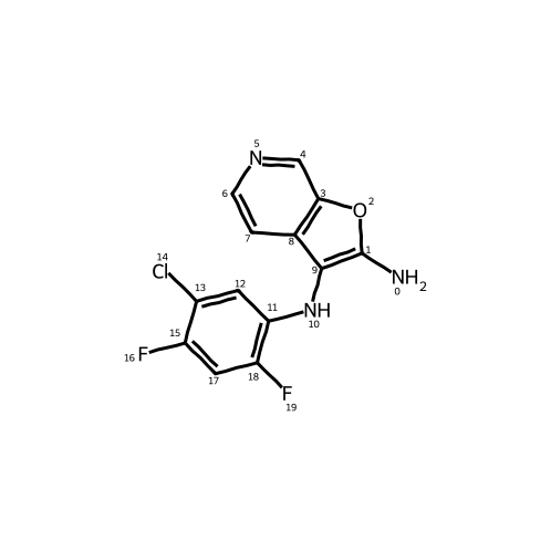 Nc1oc2cnccc2c1Nc1cc(Cl)c(F)cc1F